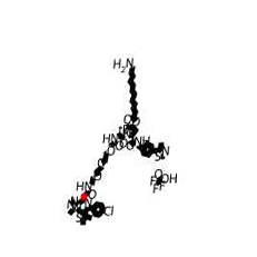 Cc1ncsc1-c1ccc(CNC(=O)[C@@H]2C[C@@H](OC(=O)CCCCCCCCCCCN)CN2C(=O)[C@@H](NC(=O)COCCOCCOCCNC(=O)C[C@@H]2N=C(c3ccc(Cl)cc3)c3c(sc(C)c3C)-n3c(C)nnc32)C(C)(C)C)cc1.O=C(O)C(F)(F)F